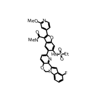 CCS(=O)(=O)Nc1cc2oc(-c3ccnc(OC)c3)c(C(=O)NC)c2cc1-c1ccc2c(n1)-c1cc3c(F)cccc3n1CO2